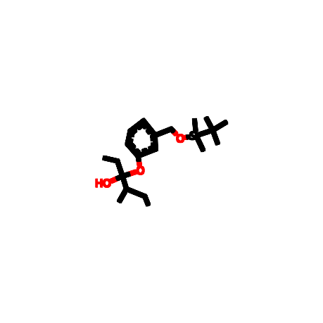 CCC(C)C(O)(CC)Oc1cccc(CO[Si](C)(C)C(C)(C)C)c1